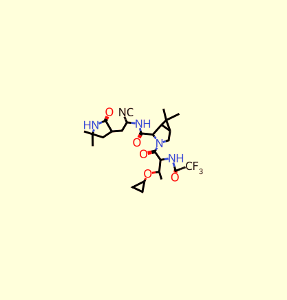 CC(OC1CC1)C(NC(=O)C(F)(F)F)C(=O)N1CC2C(C1C(=O)NC(C#N)CC1CC(C)(C)NC1=O)C2(C)C